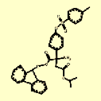 Cc1ccc(S(=O)(=O)Oc2ccc(C(N)(CC(=O)OC(C)C)C(=O)OCC3c4ccccc4-c4ccccc43)cc2)cc1